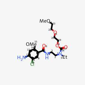 CCN(CCNC(=O)c1cc(Cl)c(N)cc1OC)C(=O)OCCOCCOC